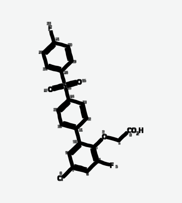 O=C(O)COc1c(F)cc(Cl)cc1-c1ccc(S(=O)(=O)c2ccc(F)cc2)cc1